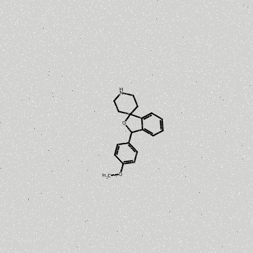 COc1ccc(C2OC3(CCNCC3)c3ccccc32)cc1